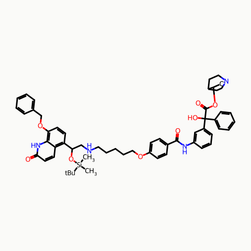 CC(C)(C)[Si](C)(C)OC(CNCCCCCOc1ccc(C(=O)Nc2cccc(C(O)(C(=O)OC3CN4CCC3CC4)c3ccccc3)c2)cc1)c1ccc(OCc2ccccc2)c2[nH]c(=O)ccc12